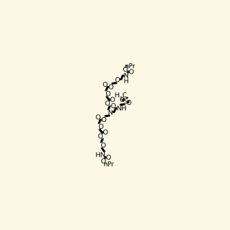 C=CS(=O)(=O)CCNC(=O)CN(CCOC(=O)COCC(=O)OCCOCCNC(=O)OCCC)CCOC(=O)COCC(=O)OCCOCCNC(=O)OCCC